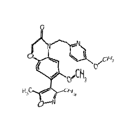 COc1ccc(CN2C(=O)COc3cc(-c4c(C)noc4C)c(OC)cc32)nc1